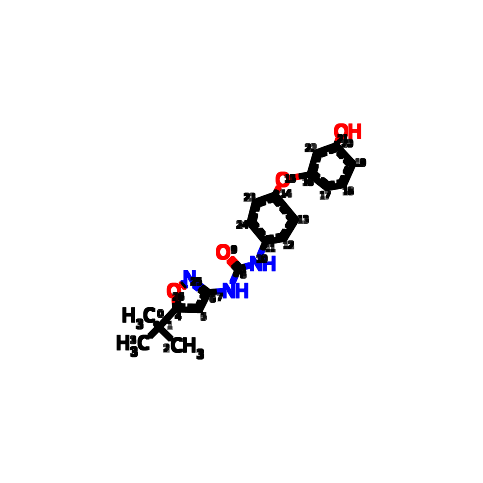 CC(C)(C)c1cc(NC(=O)Nc2ccc(Oc3cccc(O)c3)cc2)no1